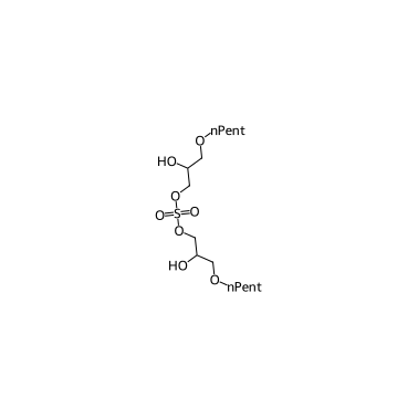 CCCCCOCC(O)COS(=O)(=O)OCC(O)COCCCCC